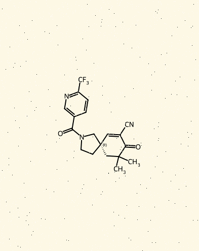 CC1(C)C[C@]2(C=C(C#N)C1=O)CCN(C(=O)c1ccc(C(F)(F)F)nc1)C2